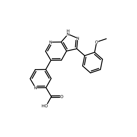 COc1ccccc1-c1n[nH]c2ncc(-c3ccnc(C(=O)O)c3)cc12